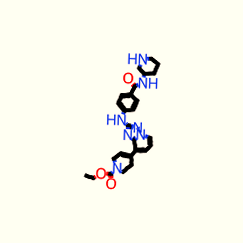 CCOC(=O)N1CC=C(c2cccn3nc(Nc4ccc(C(=O)NC5CCCNC5)cc4)nc23)CC1